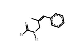 CCC(=O)N(CC)C/C(C)=C\c1ccccc1